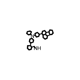 N=Cc1ccccc1-c1ccc(N(c2ccccc2)c2ccc(-c3ccc4c5c(cccc35)-c3ccccc3-4)cc2)cc1